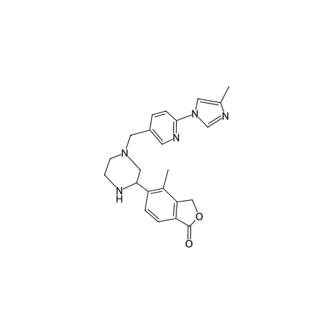 Cc1cn(-c2ccc(CN3CCNC(c4ccc5c(c4C)COC5=O)C3)cn2)cn1